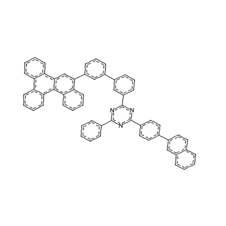 c1ccc(-c2nc(-c3ccc(-c4ccc5ccccc5c4)cc3)nc(-c3cccc(-c4cccc(-c5cc6c7ccccc7c7ccccc7c6c6ccccc56)c4)c3)n2)cc1